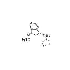 Cl.O=C1CC(NC2CCCC2)c2ccccc21